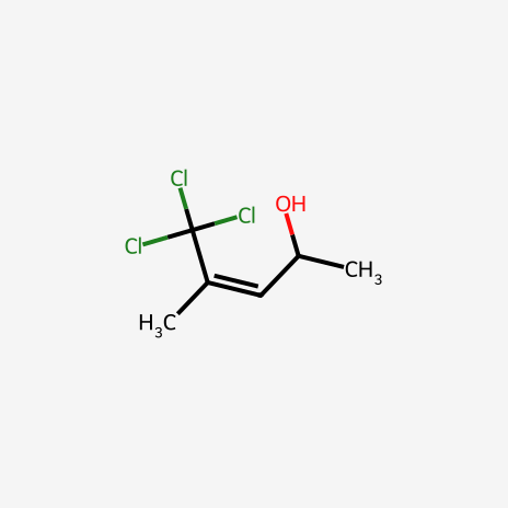 CC(=CC(C)O)C(Cl)(Cl)Cl